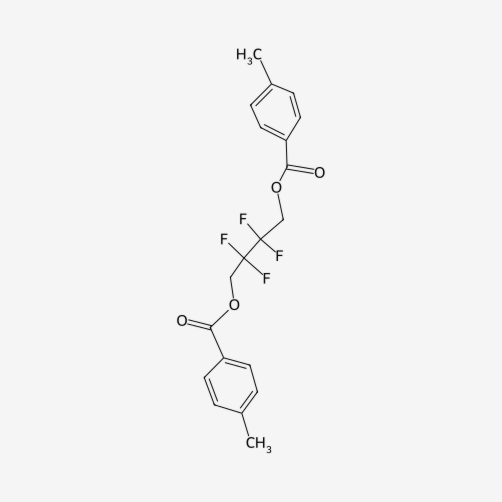 Cc1ccc(C(=O)OCC(F)(F)C(F)(F)COC(=O)c2ccc(C)cc2)cc1